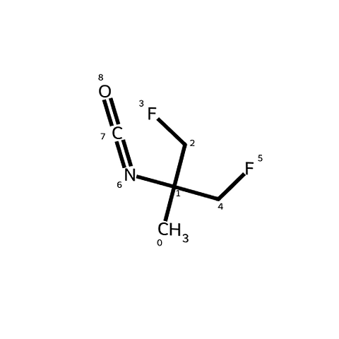 CC(CF)(CF)N=C=O